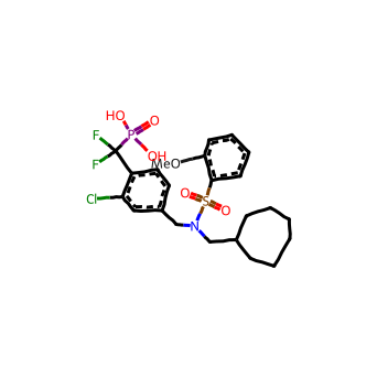 COc1ccccc1S(=O)(=O)N(Cc1ccc(C(F)(F)P(=O)(O)O)c(Cl)c1)CC1CCCCCC1